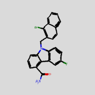 NC(=O)c1cccc2c1c1[c]c(F)ccc1n2Cc1ccc2ccccc2c1Br